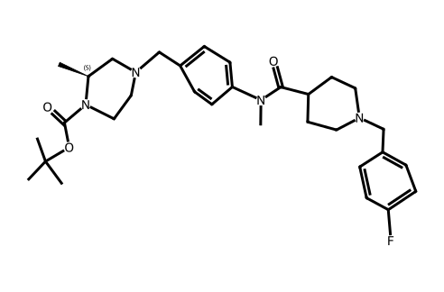 C[C@H]1CN(Cc2ccc(N(C)C(=O)C3CCN(Cc4ccc(F)cc4)CC3)cc2)CCN1C(=O)OC(C)(C)C